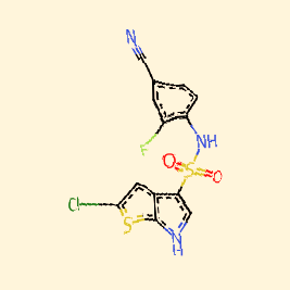 N#Cc1ccc(NS(=O)(=O)c2c[nH]c3sc(Cl)cc23)c(F)c1